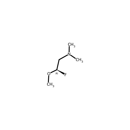 CO[C@H](F)CN(C)C